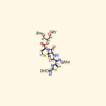 CON=C(C(=O)NC1C(=O)N2C(C(=O)OC(COC(C)C)COC(C)C)=CCS[C@@H]12)c1csc(NC=O)n1